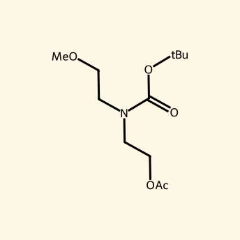 COCCN(CCOC(C)=O)C(=O)OC(C)(C)C